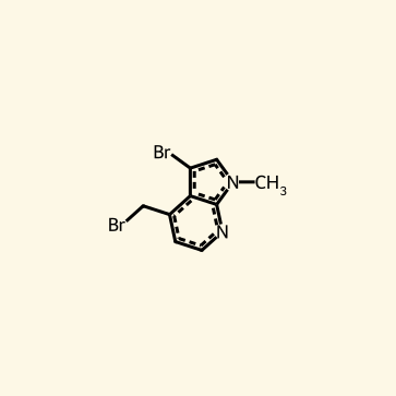 Cn1cc(Br)c2c(CBr)ccnc21